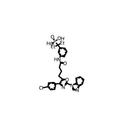 CCC(CC)(c1cccc(NC(=O)CCCc2oc(-n3cnc4ccccc43)nc2-c2ccc(Cl)cc2)c1)P(=O)(O)O